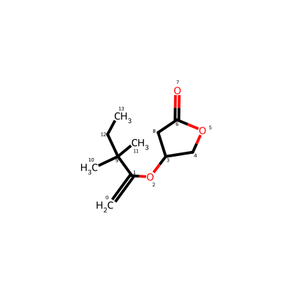 C=C(OC1COC(=O)C1)C(C)(C)CC